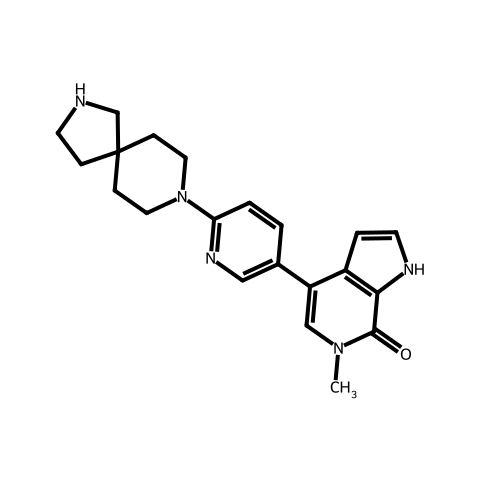 Cn1cc(-c2ccc(N3CCC4(CCNC4)CC3)nc2)c2cc[nH]c2c1=O